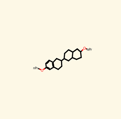 CCCOc1ccc2c(c1)CCC(C1CCC3CC(OCCC)CCC3C1)C2